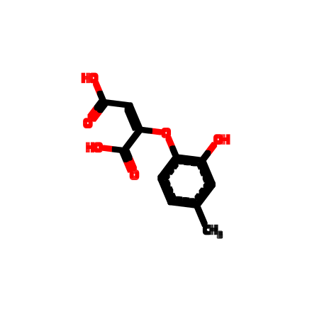 Cc1ccc(OC(=CC(=O)O)C(=O)O)c(O)c1